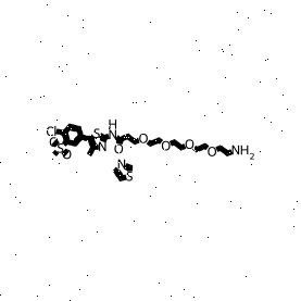 Cc1nc(NC(=O)CCOCCOCCOCCOCCN)sc1-c1ccc(Cl)c(S(C)(=O)=O)c1.c1cscn1